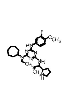 CCC(Nc1nc(Nc2ccc(OC)c(F)c2)nc(N(CC)C2CCCCCC2)n1)C1CCCN1